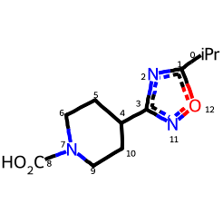 CC(C)c1nc(C2CCN(C(=O)O)CC2)no1